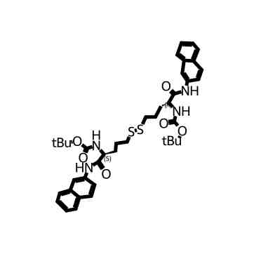 CC(C)(C)OC(=O)N[C@@H](CCCSSCCC[C@@H](NC(=O)OC(C)(C)C)C(=O)Nc1ccc2ccccc2c1)C(=O)Nc1ccc2ccccc2c1